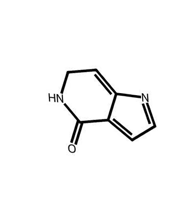 O=C1NCC=C2N=CC=C12